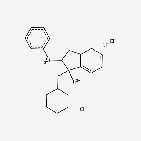 [Cl-].[Cl-].[Cl-].[Ti+3][C]1(CC2CCCCC2)C2=CC=CCC2CC1[SiH2]c1ccccc1